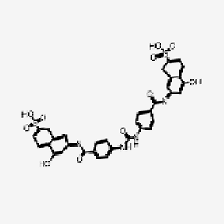 O=C(Nc1ccc(C(=O)N=C2C=C(O)C3=CC=C(S(=O)(=O)O)CC3=C2)cc1)Nc1ccc(C(=O)N=C2C=C(O)C3=CC=C(S(=O)(=O)O)CC3=C2)cc1